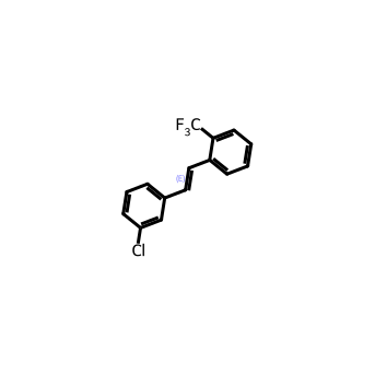 FC(F)(F)c1ccccc1/C=C/c1cccc(Cl)c1